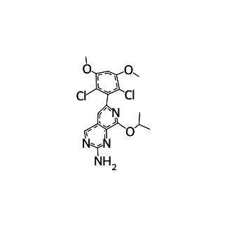 COc1cc(OC)c(Cl)c(-c2cc3cnc(N)nc3c(OC(C)C)n2)c1Cl